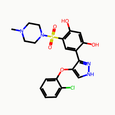 CN1CCN(S(=O)(=O)c2cc(-c3n[nH]cc3Oc3ccccc3Cl)c(O)cc2O)CC1